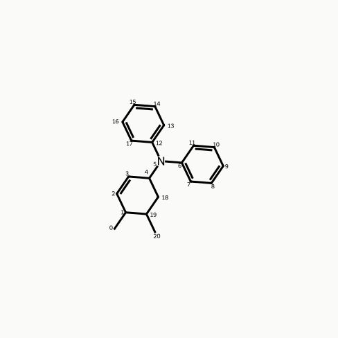 CC1C=CC(N(c2ccccc2)c2ccccc2)CC1C